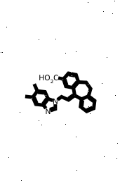 Cc1cc2ncn(C/C=C3/c4ccccc4CCc4ccc(C(=O)O)cc43)c2cc1C